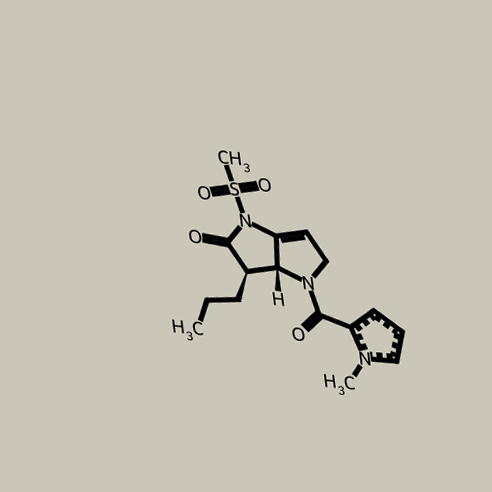 CCC[C@H]1C(=O)N(S(C)(=O)=O)C2=CCN(C(=O)c3cccn3C)[C@@H]21